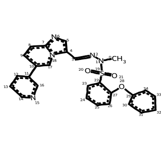 CN(/N=C/c1cnc2ccc(-c3cccnc3)cn12)S(=O)(=O)c1ccccc1Oc1ccccc1